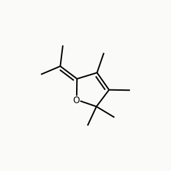 CC(C)=C1OC(C)(C)C(C)=C1C